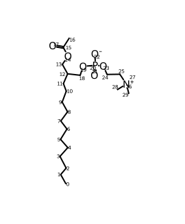 CCCCCCCCCCCCC(COC(C)=O)COP(=O)([O-])OCC[N+](C)(C)C